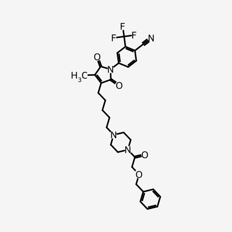 CC1=C(CCCCCN2CCN(C(=O)COCc3ccccc3)CC2)C(=O)N(c2ccc(C#N)c(C(F)(F)F)c2)C1=O